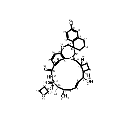 C[C@@H]1C/C=C/[C@H](O)[C@@H]2CC[C@H]2CN2C[C@@]3(CCCc4cc(Cl)ccc43)COc3ccc(cc32)C(=O)NS(=O)(=O)[C@H]1C[C@H]1CCO1